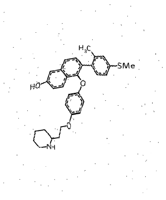 CSc1ccc(-c2ccc3cc(O)ccc3c2Oc2ccc(OCCC3CCCCN3)cc2)c(C)c1